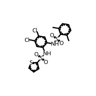 Cc1cccc(C)c1S(=O)(=O)Nc1cc(Cl)c(Cl)cc1NS(=O)(=O)c1cccs1